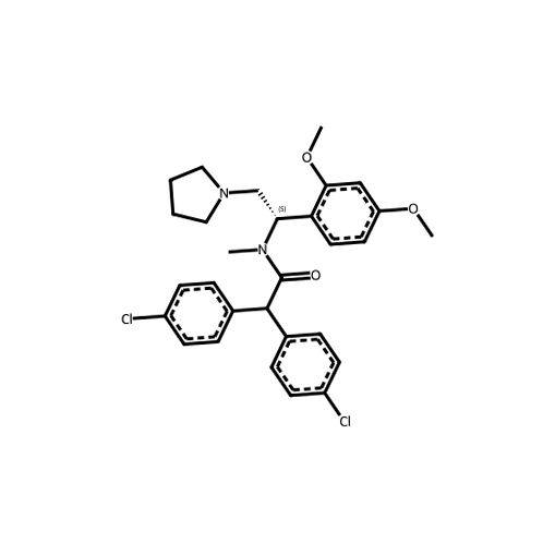 COc1ccc([C@@H](CN2CCCC2)N(C)C(=O)C(c2ccc(Cl)cc2)c2ccc(Cl)cc2)c(OC)c1